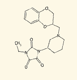 CCN1C(=O)C(=O)N(C2CCCN(CC3COc4ccccc4O3)C2)C1=O